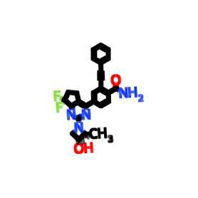 C[C@H]1[C@H](O)CN1c1nc(-c2ccc(C(N)=O)c(C#Cc3ccccc3)c2)c2c(n1)C(F)(F)CC2